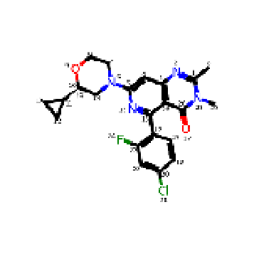 Cc1nc2cc(N3CCO[C@H](C4CC4)C3)nc(-c3ccc(Cl)cc3F)c2c(=O)n1C